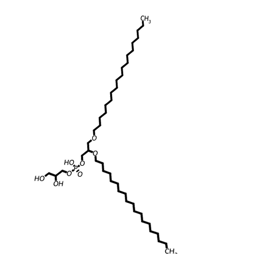 CCCCCCCCCCCCCCCCCCCOCC(COP(=O)(O)OCC(O)CO)OCCCCCCCCCCCCCCCCCCC